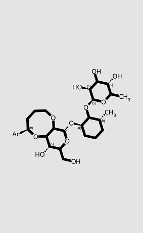 CC(=O)[C@H]1CCCOC2C(O1)[C@@H](O)C(CO)O[C@H]2O[C@@H]1CCC[C@@H](C)C1O[C@@H]1OC(C)[C@@H](O)C(O)[C@@H]1O